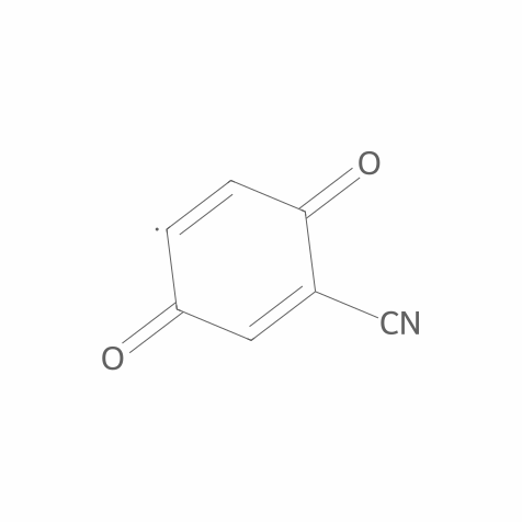 N#CC1=CC(=O)[C]=CC1=O